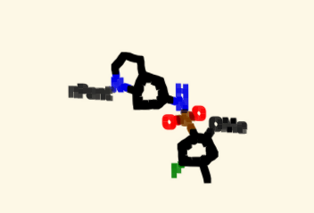 CCCCCN1CCCc2cc(NS(=O)(=O)c3cc(F)c(C)cc3OC)ccc21